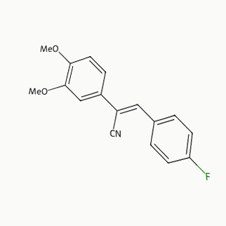 COc1ccc(C(C#N)=Cc2ccc(F)cc2)cc1OC